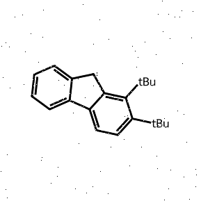 CC(C)(C)c1ccc2c(c1C(C)(C)C)[C]c1ccccc1-2